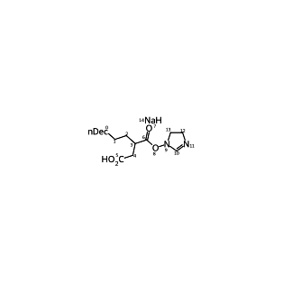 CCCCCCCCCCCCC(CC(=O)O)C(=O)ON1C=NCC1.[NaH]